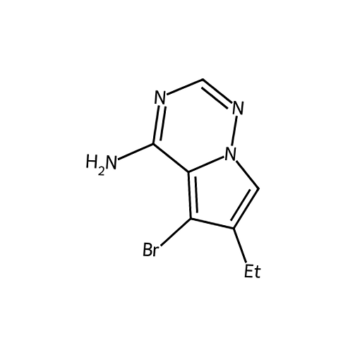 CCc1cn2ncnc(N)c2c1Br